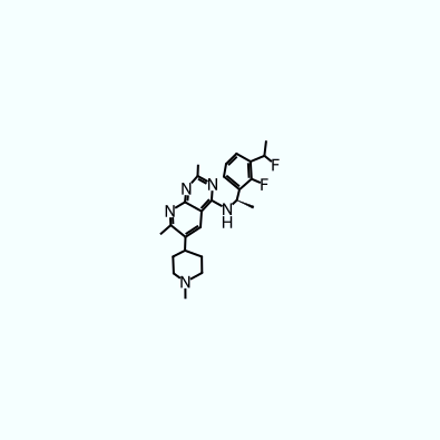 Cc1nc(N[C@H](C)c2cccc(C(C)F)c2F)c2cc(C3CCN(C)CC3)c(C)nc2n1